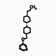 CCC[C@H]1CC[C@H](C2CCC(COc3ccccc3)CC2)CC1